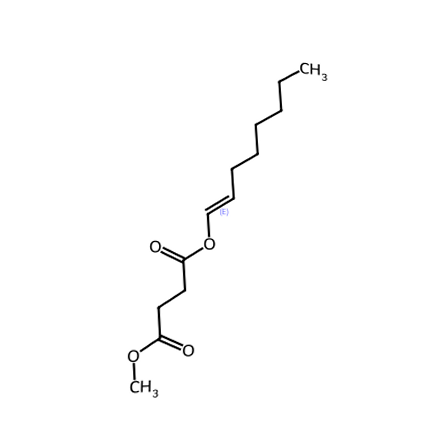 CCCCCC/C=C/OC(=O)CCC(=O)OC